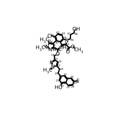 COC(=O)c1c(C)c2c(-c3c(C(C)OCc4cc(CCc5cc(O)c6ccc(F)cc6c5)n(C)n4)nn(C)c3C)c(Cl)ccc2n1CCCO